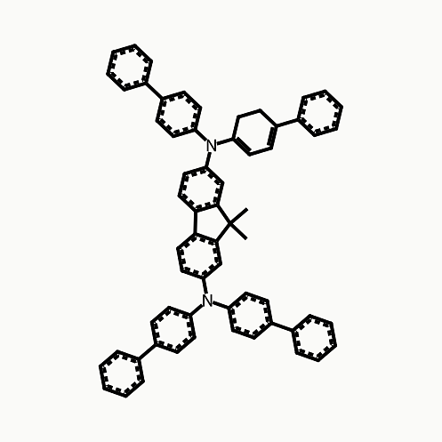 CC1(C)c2cc(N(C3=CC=C(c4ccccc4)CC3)c3ccc(-c4ccccc4)cc3)ccc2-c2ccc(N(c3ccc(-c4ccccc4)cc3)c3ccc(-c4ccccc4)cc3)cc21